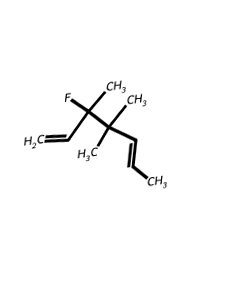 C=CC(C)(F)C(C)(C)/C=C/C